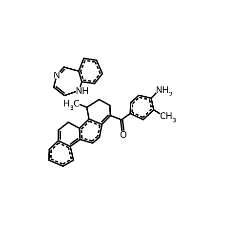 C1=CNc2ccccc2C=N1.Cc1cc(C(=O)C2=c3ccc4c(c3C(C)CC2)CC=c2ccccc2=4)ccc1N